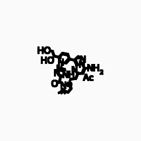 CC(=O)c1c(CC[C@H]2CC[C@@H](C)N2C(=O)c2nnc[nH]2)nc2c(-c3ccc(C(O)CO)nc3)cnn2c1N